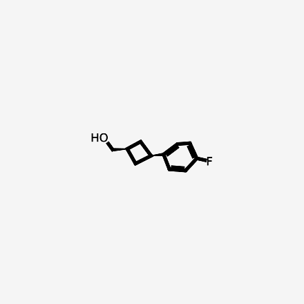 OC[C@H]1C[C@@H](c2ccc(F)cc2)C1